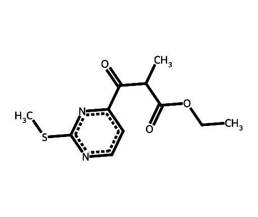 CCOC(=O)C(C)C(=O)c1ccnc(SC)n1